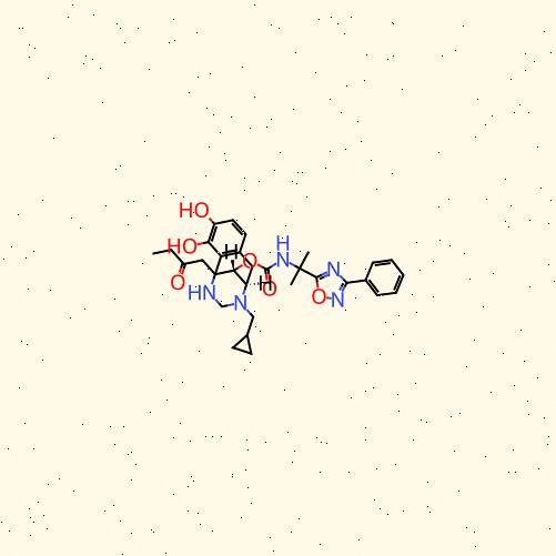 CCC(=O)CC12NCN(CC3CC3)[C@H](Cc3ccc(O)c(O)c31)[C@H]2OC(=O)NC(C)(C)c1nc(-c2ccccc2)no1